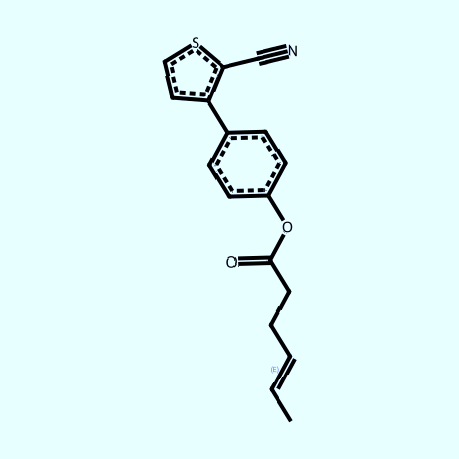 C/C=C/CCC(=O)Oc1ccc(-c2ccsc2C#N)cc1